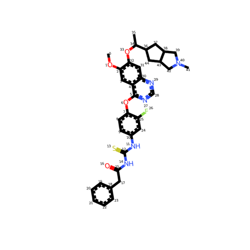 COc1cc2c(Oc3ccc(NC(=S)NC(=O)Cc4ccccc4)cc3F)ncnc2cc1OC(C)C1CC2CN(C)CC2C1